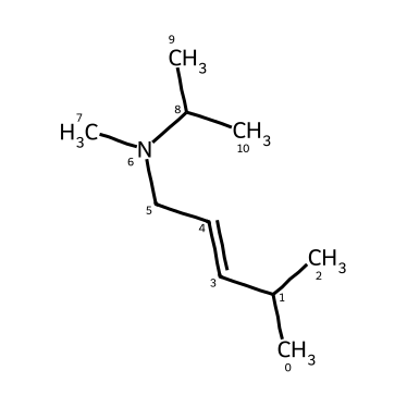 CC(C)/C=C/CN(C)C(C)C